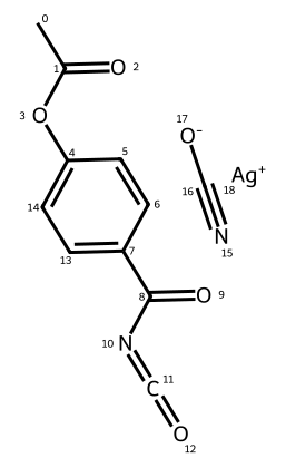 CC(=O)Oc1ccc(C(=O)N=C=O)cc1.N#C[O-].[Ag+]